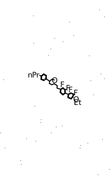 CCCc1ccc(C2CCC(CCc3ccc(-c4ccc(OCC)c(F)c4F)c(F)c3F)OC2)cc1